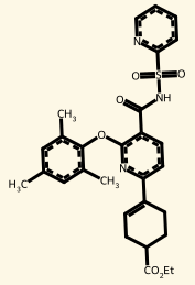 CCOC(=O)C1CC=C(c2ccc(C(=O)NS(=O)(=O)c3ccccn3)c(Oc3c(C)cc(C)cc3C)n2)CC1